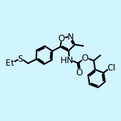 CCSCc1ccc(-c2onc(C)c2NC(=O)OC(C)c2ccccc2Cl)cc1